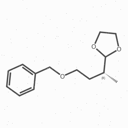 C[C@H](CCOCc1ccccc1)C1OCCO1